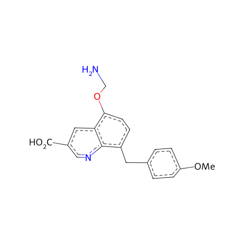 COc1ccc(Cc2ccc(OCN)c3cc(C(=O)O)cnc23)cc1